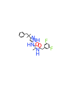 C[C@H](NC(=O)Cc1cc(F)cc(F)c1)C(=O)Nc1cc(C(C)(C)Cc2ccccc2)n[nH]1